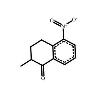 CC1CCc2c(cccc2[N+](=O)[O-])C1=O